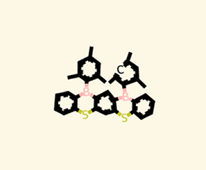 Cc1cc(C)c(B2c3ccccc3Sc3cc4c(cc32)B(c2c(C)cc(C)cc2C)c2ccccc2S4)c(C)c1